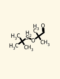 CC(C)(C=O)O[SiH2]C(C)(C)C